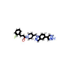 O=C(CCc1ccccc1F)N1CCC(Cn2ncc3cc(-c4cn[nH]c4)ccc32)CC1